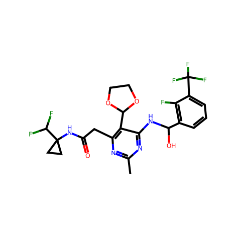 Cc1nc(CC(=O)NC2(C(F)F)CC2)c(C2OCCO2)c(NC(O)c2cccc(C(F)(F)F)c2F)n1